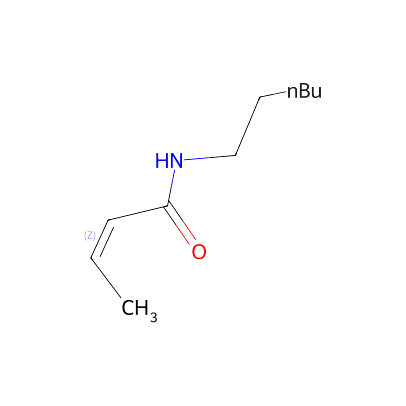 C/C=C\C(=O)NCCCCCC